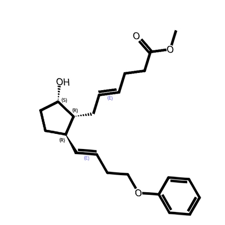 COC(=O)CC/C=C/C[C@H]1[C@@H](O)CC[C@@H]1/C=C/CCOc1ccccc1